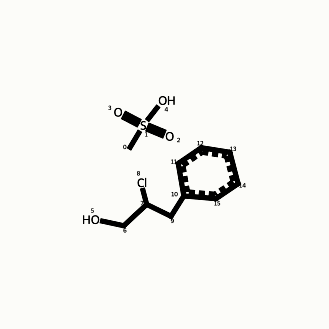 CS(=O)(=O)O.OCC(Cl)Cc1ccccc1